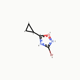 Brc1noc(C2CC2)n1